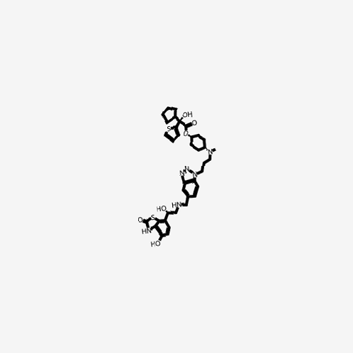 CN(CCCn1nnc2cc(CNC[C@H](O)c3ccc(O)c4[nH]c(=O)sc34)ccc21)[C@H]1CC[C@H](OC(=O)[C@](O)(c2cccs2)C2CCCC2)CC1